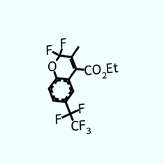 CCOC(=O)C1=C(C)C(F)(F)Oc2ccc(C(F)(F)C(F)(F)F)cc21